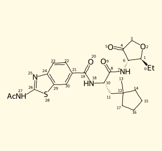 CC[C@@H]1OCC(=O)[C@H]1NC(=O)[C@H](CC1(C)CCCC1)NC(=O)c1ccc2nc(NC(C)=O)sc2c1